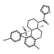 O=C(c1ccco1)N1CCC[C@]2(S(=O)(=O)c3ccc(Cl)cc3)c3c(F)ccc(F)c3OC[C@H]12